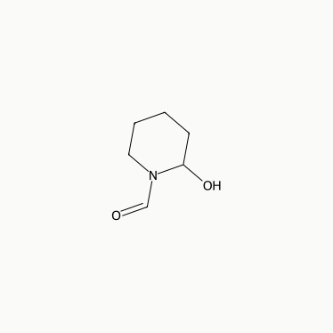 O=CN1CCCCC1O